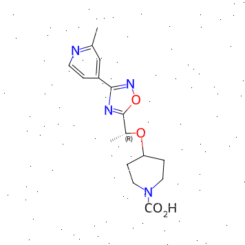 Cc1cc(-c2noc([C@@H](C)OC3CCN(C(=O)O)CC3)n2)ccn1